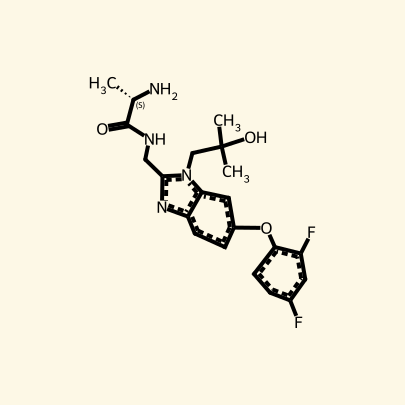 C[C@H](N)C(=O)NCc1nc2ccc(Oc3ccc(F)cc3F)cc2n1CC(C)(C)O